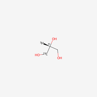 [2H][C@@](O)(CO)[13CH2]O